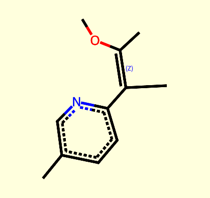 CO/C(C)=C(/C)c1ccc(C)cn1